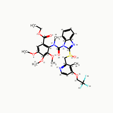 CCOC(=O)c1cc(OC)c(OC)c(OC)c1N(C)C(=O)n1c([S+]([O-])Cc2nccc(OCC(F)(F)F)c2C)nc2ccccc21